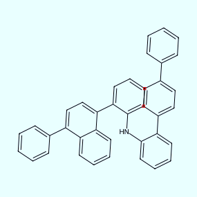 c1ccc(-c2ccc(-c3ccccc3Nc3ccccc3-c3ccc(-c4ccccc4)c4ccccc34)cc2)cc1